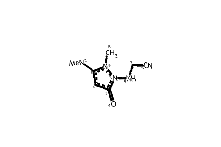 CNc1cc(=O)n(NCC#N)n1C